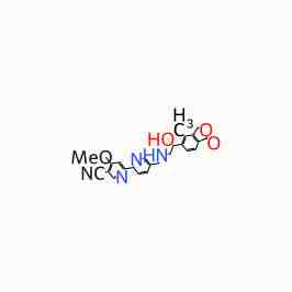 COc1cc(-c2ccc(CNC[C@H](O)c3ccc4c(c3C)COC4=O)cn2)ncc1C#N